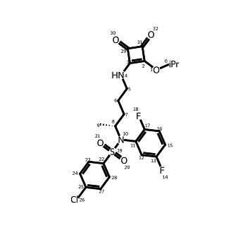 CC(C)Oc1c(NCCC[C@@H](C)N(c2cc(F)ccc2F)S(=O)(=O)c2ccc(Cl)cc2)c(=O)c1=O